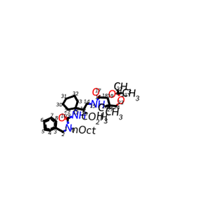 CCCCCCCCN(Cc1ccccc1)C(=O)NC1(C(CNC(=O)C2OC(C)(C)OCC2(C)C)C(=O)O)CCCCC1